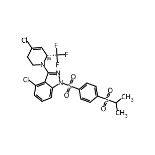 CC(C)S(=O)(=O)c1ccc(S(=O)(=O)n2nc(N3CCC(Cl)=C[C@@H]3C(F)(F)F)c3c(Cl)cccc32)cc1